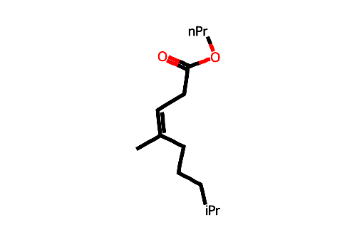 CCCOC(=O)CC=C(C)CCCC(C)C